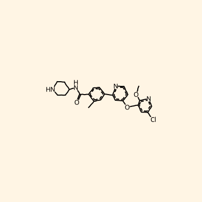 COc1ncc(Cl)cc1Oc1ccnc(-c2ccc(C(=O)NC3CCNCC3)c(C)c2)c1